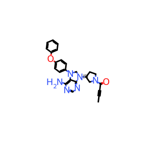 CC#CC(=O)N1CC[C@H](N2CN(c3ccc(Oc4ccccc4)cc3)c3c(N)ncnc32)C1